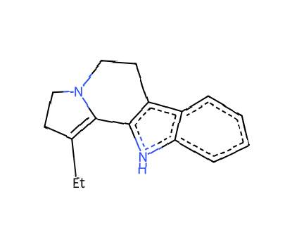 CCC1=C2c3[nH]c4ccccc4c3CCN2CC1